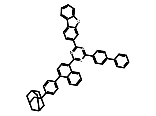 c1ccc(-c2ccc(-c3nc(-c4ccc5c(c4)oc4ccccc45)nc(-c4ccc(-c5ccc(C67CC8CC(CC(C8)C6)C7)cc5)c5ccccc45)n3)cc2)cc1